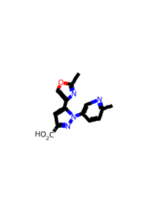 Cc1ccc(-n2nc(C(=O)O)cc2-c2coc(C)n2)cn1